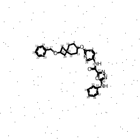 O=C(Nc1ccc(OC2CCC3(CC2)CC(OCc2ccccc2)C3)nc1)c1nnc(Nc2ccccc2)o1